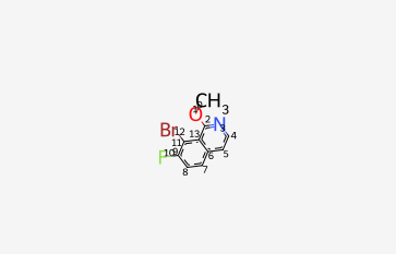 COc1nccc2ccc(F)c(Br)c12